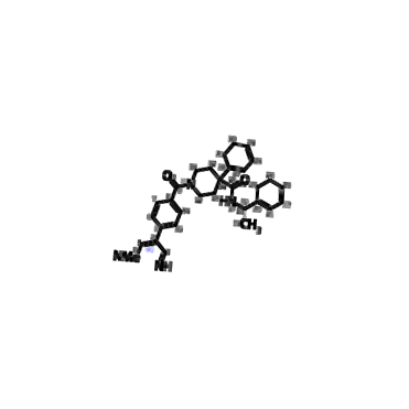 CN/C=C(\C=N)c1ccc(C(=O)N2CCC(C(=O)N[C@@H](C)C3=CC=CCC3)(C3=CC=CCC3)CC2)cc1